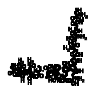 CC(C)C[C@H](N)C(=O)O.CC(C)[C@H](N)C(=O)O.CC[C@H](C)[C@H](N)C(=O)O.C[C@@H](O)[C@H](N)C(=O)O.NC(=O)CC[C@H](N)C(=O)O.NC(=O)C[C@H](N)C(=O)O.NCC(=O)O.N[C@@H](CO)C(=O)O.N[C@@H](CS)C(=O)O.N[C@@H](Cc1c[nH]c2ccccc12)C(=O)O.N[C@@H](Cc1ccc(O)cc1)C(=O)O.N[C@@H](Cc1ccccc1)C(=O)O.O=C(O)[C@@H]1CCCN1